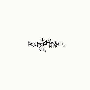 Cc1cc(N2CC3C(C2)C3(F)F)nc(C)c1Cn1cnc(C(=O)N[C@@H]2CCc3c2ncn3C)c1